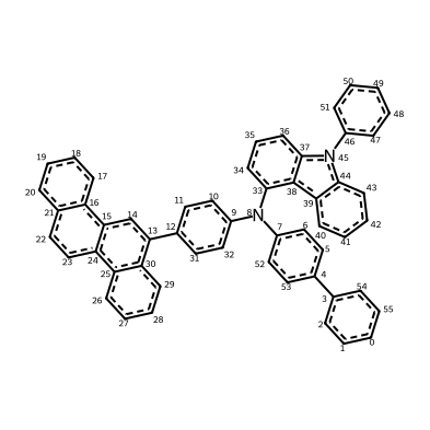 c1ccc(-c2ccc(N(c3ccc(-c4cc5c6ccccc6ccc5c5ccccc45)cc3)c3cccc4c3c3ccccc3n4-c3ccccc3)cc2)cc1